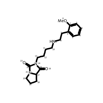 COc1ccccc1CCNCCCCN1C(=O)C2CCCN2C1=O